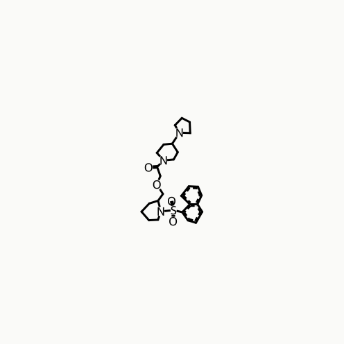 O=C(COCC1CCCCN1S(=O)(=O)c1cccc2ccccc12)N1CCC(N2CCCC2)CC1